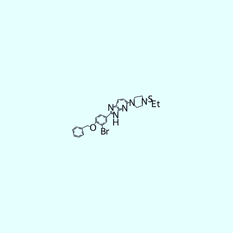 CCSN1CCN(c2ccc3nc(-c4ccc(OCc5ccccc5)c(Br)c4)[nH]c3n2)CC1